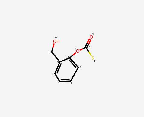 O=C([S])Oc1ccccc1CO